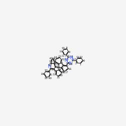 c1ccc(-c2nc(-c3ccccc3)nc(-c3cccc4c3-c3ccccc3C43c4ccccc4-c4c(-c5ccccc5)nc5ccccc5c43)n2)cc1